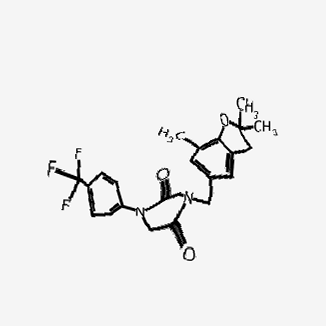 Cc1cc(CN2C(=O)CN(c3ccc(C(F)(F)F)cc3)C2=O)cc2c1OC(C)(C)C2